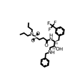 CCCN(CCC)S(=O)(=O)CCC(=O)N[C@@H](Cc1cccc(C(F)(F)F)c1)[C@@H](O)CNCc1ccccc1